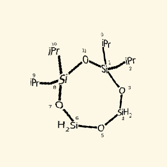 CC(C)[Si]1(C(C)C)O[SiH2]O[SiH2]O[Si](C(C)C)(C(C)C)O1